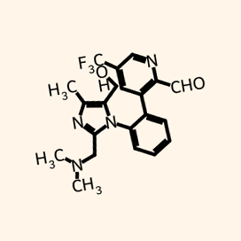 Cc1nc(CN(C)C)n(-c2ccccc2-c2cc(C(F)(F)F)cnc2C=O)c1CO